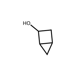 OC1CC2CC12